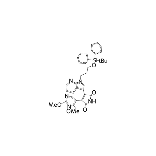 COc1ncc(C2=C(c3cn(CCCO[Si](c4ccccc4)(c4ccccc4)C(C)(C)C)c4ncccc34)C(=O)NC2=O)c(OC)n1